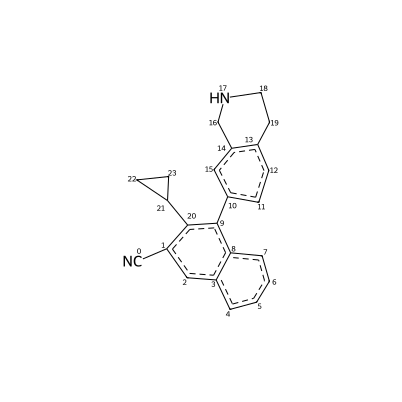 N#Cc1cc2ccccc2c(-c2ccc3c(c2)CNCC3)c1C1CC1